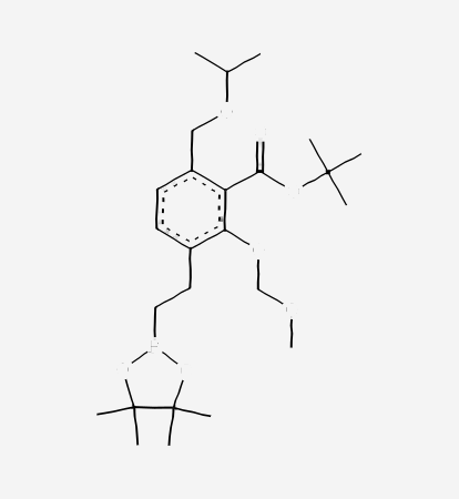 COCOc1c(CCB2OC(C)(C)C(C)(C)O2)ccc(COC(C)C)c1C(=O)OC(C)(C)C